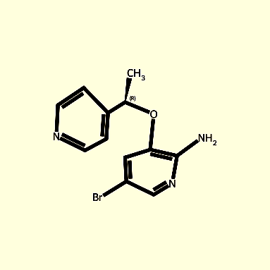 C[C@@H](Oc1cc(Br)cnc1N)c1ccncc1